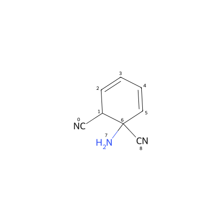 N#CC1C=CC=CC1(N)C#N